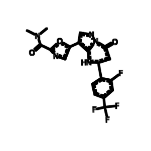 CN(C)C(=O)c1ncc(-c2cnn3c(=O)cc(-c4ccc(C(F)(F)F)cc4F)[nH]c23)o1